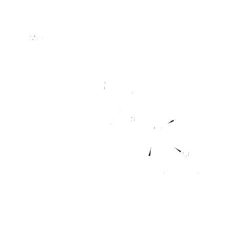 C=CS(=O)(=O)N[C@H]1[C@@H]2CN(S(=O)(=O)c3ccc(CC(=O)OC)cc3)C[C@@H]21